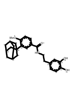 COc1ccc(C(=O)NCCc2ccc(O)c(O)c2)cc1C12CC3CC(CC(C3)C1)C2